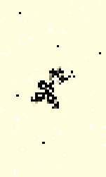 COc1ccc(C(OCCSP(OCCC#N)N(C(C)C)C(C)C)(c2ccccc2)c2ccc(OC)cc2)cc1